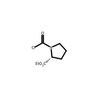 CCOC(=O)[C@H]1CCCN1C(=O)Cl